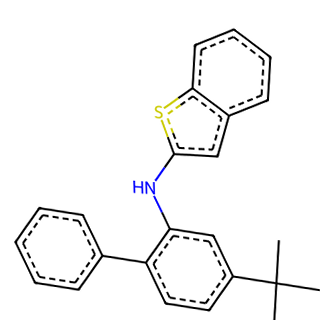 CC(C)(C)c1ccc(-c2ccccc2)c(Nc2cc3ccccc3s2)c1